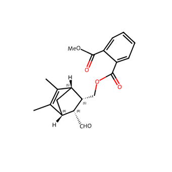 COC(=O)c1ccccc1C(=O)OC[C@@H]1[C@H](C=O)[C@H]2C[C@@H]1C(C)=C2C